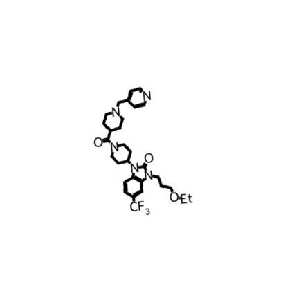 CCOCCCn1c(=O)n(C2CCN(C(=O)C3CCN(Cc4ccncc4)CC3)CC2)c2ccc(C(F)(F)F)cc21